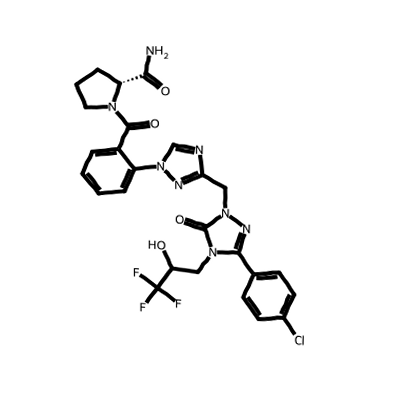 NC(=O)[C@H]1CCCN1C(=O)c1ccccc1-n1cnc(Cn2nc(-c3ccc(Cl)cc3)n(CC(O)C(F)(F)F)c2=O)n1